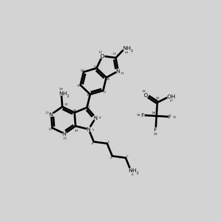 NCCCCn1nc(-c2ccc3oc(N)nc3c2)c2c(N)ncnc21.O=C(O)C(F)(F)F